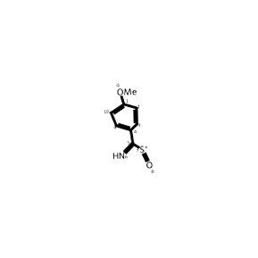 COc1ccc(C(=N)[S+]=O)cc1